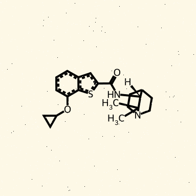 CC1(C)[C@H](NC(=O)c2cc3cccc(OC4CC4)c3s2)C2CCN1CC2